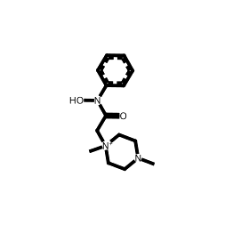 CN1CC[N+](C)(CC(=O)N(O)c2ccccc2)CC1